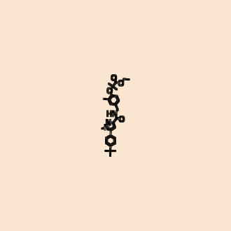 CCOC(=O)C(C)(C)Oc1ccc(CNC(=O)c2cc(-c3ccc(C(C)(C)C)cc3)n(C)n2)cc1C